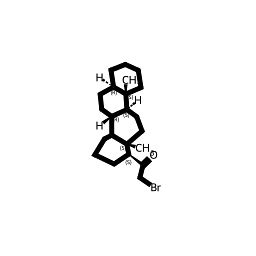 C[C@]12CCCC[C@@H]1CC[C@H]1C3CCC[C@H](C(=O)CBr)[C@@]3(C)CC[C@@H]12